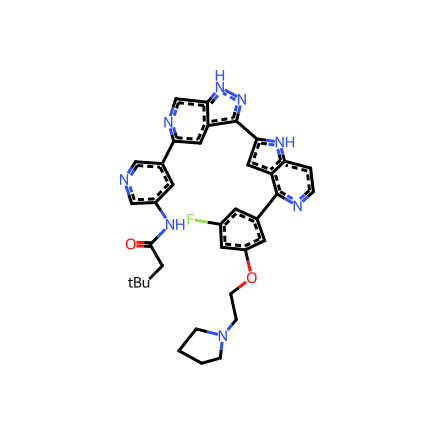 CC(C)(C)CC(=O)Nc1cncc(-c2cc3c(-c4cc5c(-c6cc(F)cc(OCCN7CCCC7)c6)nccc5[nH]4)n[nH]c3cn2)c1